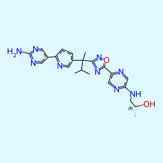 CC(C)C(C)(c1ccc(-c2cnc(N)nc2)nc1)c1noc(-c2cnc(NC[C@@H](C)O)cn2)n1